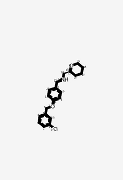 Clc1cccc(COc2ccc(CNC[C@@H]3CCCCO3)cc2)c1